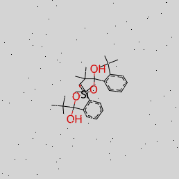 CC(C)(C)c1ccccc1C(O)(O[Si](C)(C)OC(O)(c1ccccc1C(C)(C)C)C(C)(C)C)C(C)(C)C